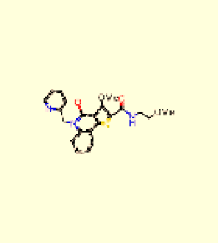 COCCNC(=O)c1sc2c(c1OC)c(=O)n(Cc1ccccn1)c1ccccc21